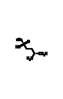 CCCC[S@](=N)(=O)CC[C@@H](N)C(=O)O